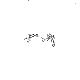 O=C1CC[C@H](N2Cc3cc(N4CCN(CCCCCC(=O)N5CCC[C@@H]([Au][c]6ncnc7[nH]cc(C(=O)c8ccc(Oc9ccccc9)cc8Cl)c67)C5)CC4)ccc3C2=O)C(=O)N1